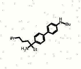 CCC(C)Nc1ccc(-c2ccc(C(N)(CC)CCCC(C)C)cc2)cc1